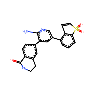 Nc1ncc(-c2cccc3c2C=CS3(=O)=O)cc1-c1ccc2c(c1)CCNC2=O